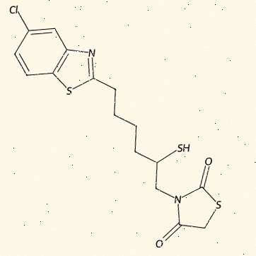 O=C1CSC(=O)N1CC(S)CCCCc1nc2cc(Cl)ccc2s1